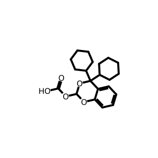 O=C(O)OC1Oc2ccccc2C(C2CCCCC2)(C2CCCCC2)O1